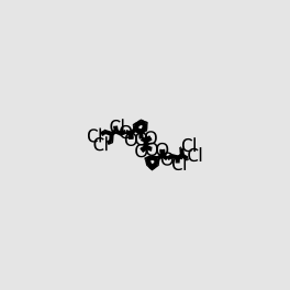 O=C(Oc1ccccc1C(=O)OCC(Cl)C(CCl)CCl)C(=O)Oc1ccccc1C(=O)OCC(Cl)C(CCl)CCl